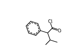 CC(C)C(C(=O)Cl)c1ccccc1